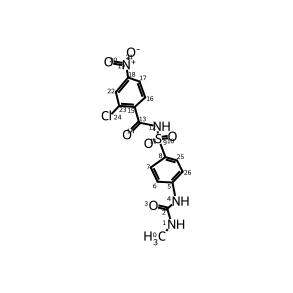 CNC(=O)Nc1ccc(S(=O)(=O)NC(=O)c2ccc([N+](=O)[O-])cc2Cl)cc1